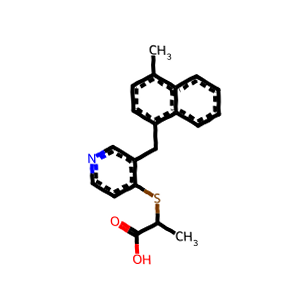 Cc1ccc(Cc2cnccc2SC(C)C(=O)O)c2ccccc12